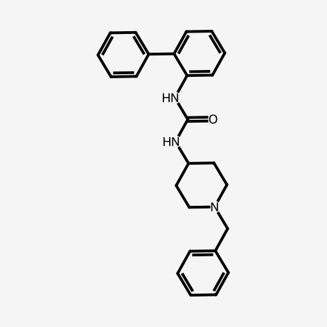 O=C(Nc1ccccc1-c1ccccc1)NC1CCN(Cc2ccccc2)CC1